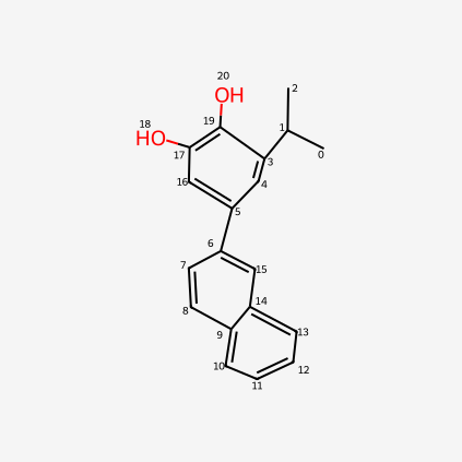 CC(C)c1cc(-c2ccc3ccccc3c2)cc(O)c1O